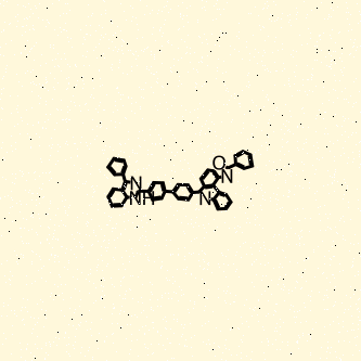 C1=CC2=C(c3ccccc3)N=C(c3ccc(-c4ccc(-c5nc6ccccc6c6c5ccc5oc(-c7ccccc7)nc56)cc4)cc3)NC2C=C1